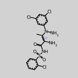 C/C(=C(/N)C(=O)NS(=O)(=O)c1ccccc1Cl)N(N)c1cc(Cl)cc(Cl)c1